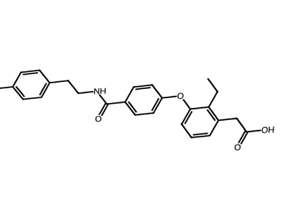 CCc1c(CC(=O)O)cccc1Oc1ccc(C(=O)NCCc2ccc(Cl)cc2)cc1